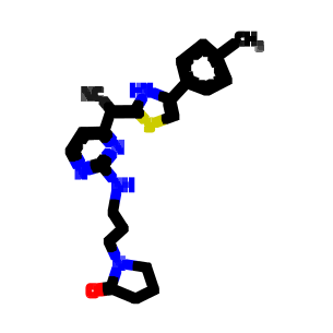 Cc1ccc(C2=CS/C(=C(/C#N)c3ccnc(NCCCN4CCCC4=O)n3)N2)cc1